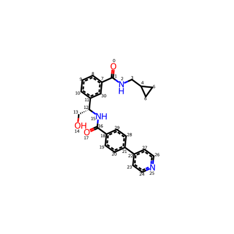 O=C(NCC1CC1)c1cccc([C@@H](CO)NC(=O)c2ccc(-c3ccncc3)cc2)c1